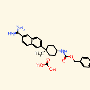 C[C@]1(c2ccc3cc(C(=N)N)ccc3c2)CC[C@@H](NC(=O)OCc2ccccc2)CC1.O=C(O)O